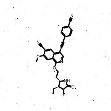 CC[C@@H]1[C@H](F)C(=O)N[C@@H]1CCOc1ncc(C#Cc2ccc(C#N)cc2)c2cc(C#N)c(OC)cc12